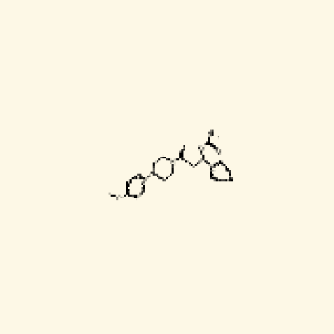 COc1ccc(N2CCN(C(=O)CC(OC(N)=O)c3ccccc3)CC2)cc1